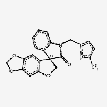 O=C1N(Cc2ccc(C(F)(F)F)o2)c2ccccc2[C@]12COc1cc3c(cc12)OCO3